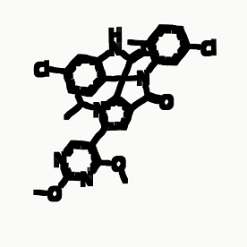 COc1ncc(-c2cc3c(n2C(C)C)C2(C(=O)Nc4cc(Cl)ccc42)N(c2cc(Cl)ccc2C)C3=O)c(OC)n1